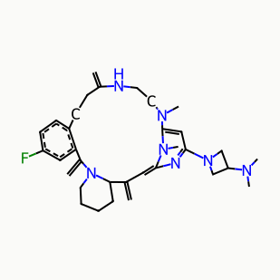 C=C1CCc2ccc(F)cc2C(=C)N2CCCCC2C(=C)/C=C2/N=C(N3CC(N(C)C)C3)C=C(N(C)CCN1)N2C